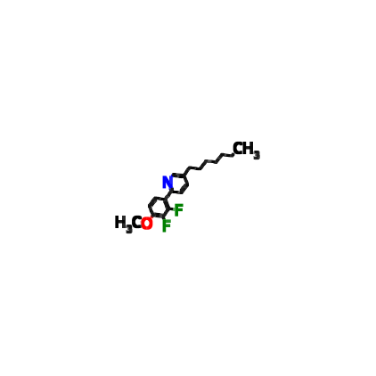 CCCCCCCc1ccc(-c2ccc(OC)c(F)c2F)nc1